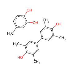 Cc1cc(-c2cc(C)c(O)c(C)c2)cc(C)c1O.Cc1ccc(O)c(O)c1